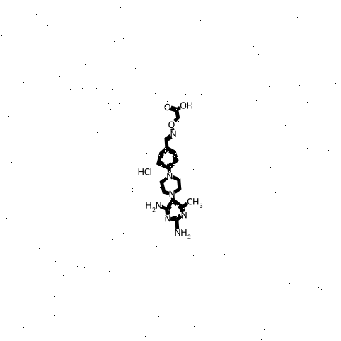 Cc1nc(N)nc(N)c1N1CCN(c2ccc(/C=N/OCC(=O)O)cc2)CC1.Cl